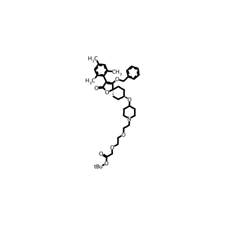 Cc1cc(C)c(C2=C(OCc3ccccc3)[C@]3(CC[C@H](OC4CCN(CCOCCOCC(=O)OC(C)(C)C)CC4)CC3)OC2=O)c(C)c1